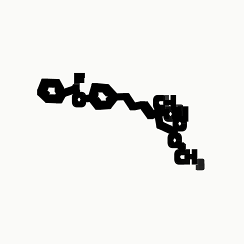 CCOC(=O)CC(C)(O)C=CCCc1ccc(OC(F)c2ccccc2)cc1